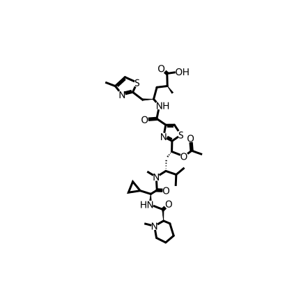 CC(=O)O[C@H](C[C@H](C(C)C)N(C)C(=O)[C@@H](NC(=O)[C@H]1CCCCN1C)C1CC1)c1nc(C(=O)N[C@@H](Cc2nc(C)cs2)C[C@H](C)C(=O)O)cs1